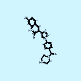 O=C(c1ccc(-n2cc(-c3cc4ccc(Cl)cc4[nH]c3=O)nn2)cc1)N1CCNCC1